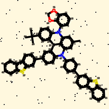 Cc1cc2c3c(c1)N(c1cccc4c1OCO4)c1ccc(C(C)(C)C)cc1B3c1cc(-c3ccc4c(c3)sc3ccccc34)ccc1N2c1ccc(-c2ccc3c(c2)sc2ccccc23)cc1